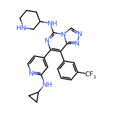 FC(F)(F)c1cccc(-c2c(-c3ccnc(NC4CC4)c3)nc(NC3CCCNC3)n3cnnc23)c1